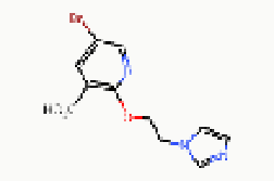 O=C(O)c1cc(Br)cnc1OCCn1ccnc1